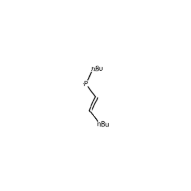 CCCCC=C[P]CCCC